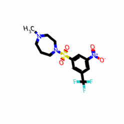 CN1CCCN(S(=O)(=O)c2[c]c(C(F)(F)F)cc([N+](=O)[O-])c2)CC1